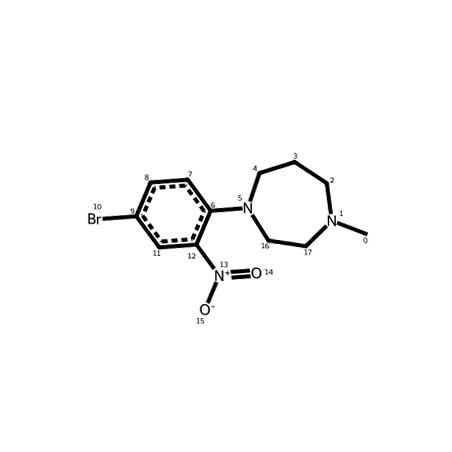 CN1CCCN(c2ccc(Br)cc2[N+](=O)[O-])CC1